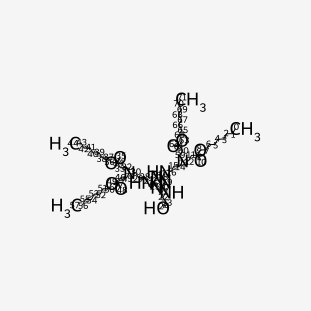 CCCCCCCCOC(=O)CCN(CCCNc1nc(NCCO)nc(NCCCN(CCC(=O)OCCCCCCCC)CCC(=O)OCCCCCCCC)n1)CCC(=O)OCCCCCCCC